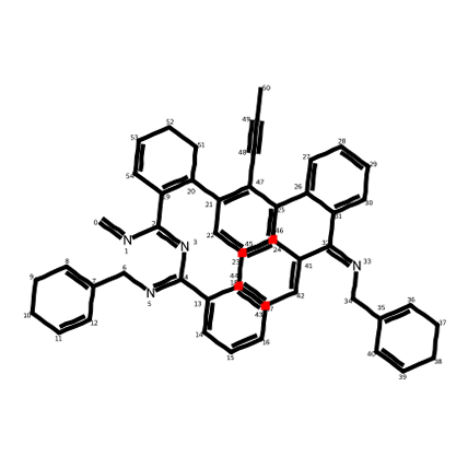 C=N/C(=N\C(=N/CC1=CCCC=C1)c1ccccc1)C1=C(c2cccc(-c3ccccc3/C(=N/CC3=CCCC=C3)c3ccccc3)c2C#CC)CCC=C1